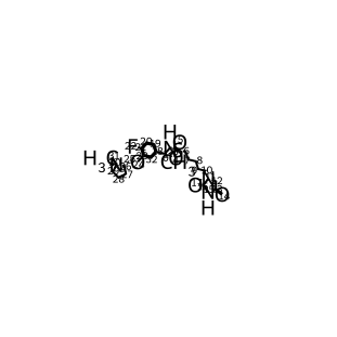 CC(NS(=O)(=O)CCCCCN1CC(=O)NC1=O)c1ccc(F)c(OC[C@@H]2CCCN2C)c1